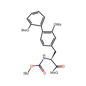 COC(=O)[C@H](Cc1ccc(-c2ccccc2OC)c(OC)c1)NC(=O)OC(C)(C)C